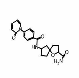 NC(=O)C1CCC2(C[CH]C(NC(=O)c3ccc(-n4ccccc4=O)cc3)C2)O1